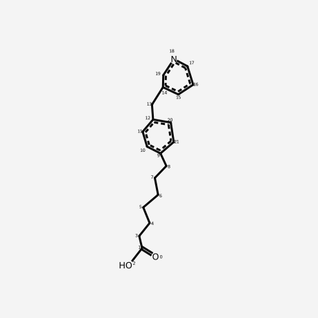 O=C(O)CCCCCCc1ccc(Cc2cccnc2)cc1